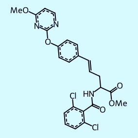 COC(=O)C(CC=Cc1ccc(Oc2nccc(OC)n2)cc1)NC(=O)c1c(Cl)cccc1Cl